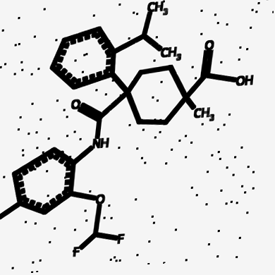 CC(C)c1ccccc1C1(C(=O)Nc2ccc(F)cc2OC(F)F)CCC(C)(C(=O)O)CC1